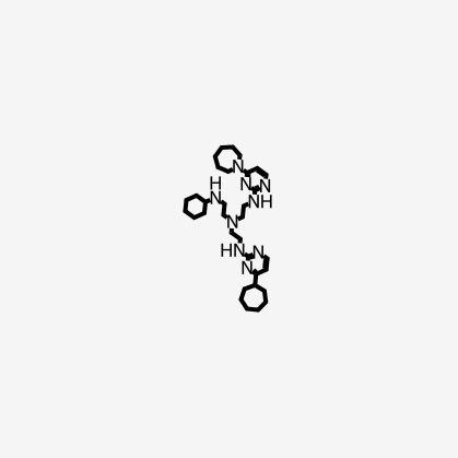 c1cc(C2CCCCCC2)nc(NCCN(CCNc2nccc(N3CCCCCC3)n2)CCNC2CCCCC2)n1